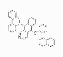 c1ccc(-c2cccc3ccccc23)c(Sc2c3ccccc3c(-c3cc4ccccc4c4ccccc34)c3cnccc23)c1